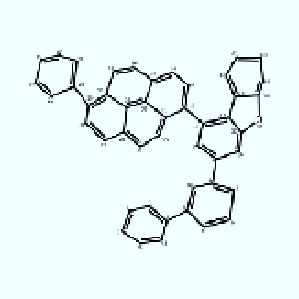 c1ccc(-c2cccc(-c3cc(-c4ccc5ccc6c(-c7ccccc7)ccc7ccc4c5c76)c4c(c3)oc3ccccc34)c2)cc1